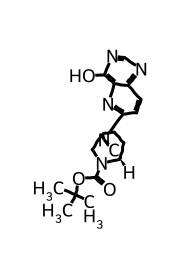 CC(C)(C)OC(=O)N1CC2CC[C@H]1CN2c1ccc2ncnc(O)c2n1